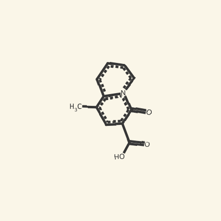 Cc1cc(C(=O)O)c(=O)n2ccccc12